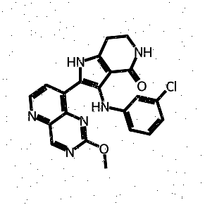 COc1ncc2nccc(-c3[nH]c4c(c3Nc3cccc(Cl)c3)C(=O)NCC4)c2n1